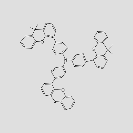 CC1(C)c2ccccc2Oc2c(-c3ccc(N(c4ccc(-c5cccc6c5Oc5ccccc5S6)cc4)c4ccc(-c5cccc6c5Sc5ccccc5C6(C)C)cc4)cc3)cccc21